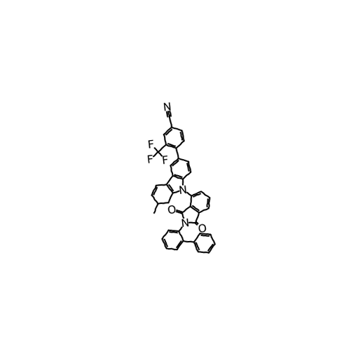 CC1C=Cc2c(n(-c3cccc4c3C(=O)N(c3ccccc3-c3ccccc3)C4=O)c3ccc(-c4ccc(C#N)cc4C(F)(F)F)cc23)C1